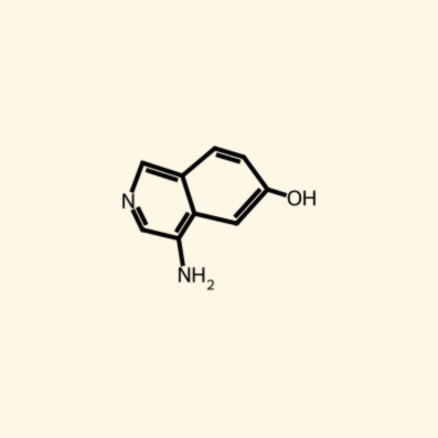 Nc1cncc2ccc(O)cc12